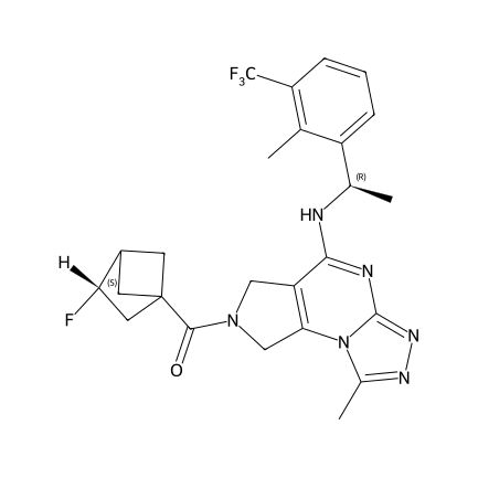 Cc1c([C@@H](C)Nc2nc3nnc(C)n3c3c2CN(C(=O)C24CC(C2)[C@@H](F)C4)C3)cccc1C(F)(F)F